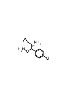 NOC(c1ccc(Cl)cc1)[C@@H](N)C1CC1